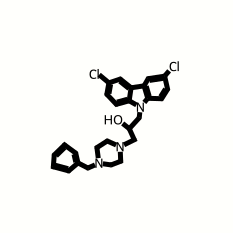 OC(CN1CCN(Cc2ccccc2)CC1)Cn1c2ccc(Cl)cc2c2cc(Cl)ccc21